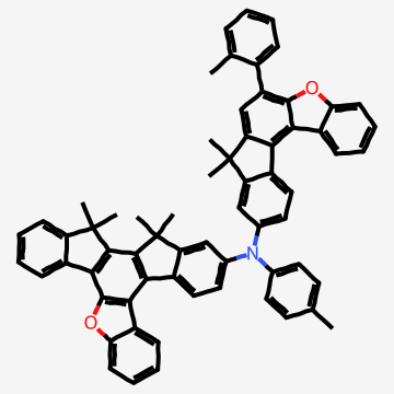 Cc1ccc(N(c2ccc3c(c2)C(C)(C)c2cc(-c4ccccc4C)c4oc5ccccc5c4c2-3)c2ccc3c(c2)C(C)(C)c2c4c(c5oc6ccccc6c5c2-3)-c2ccccc2C4(C)C)cc1